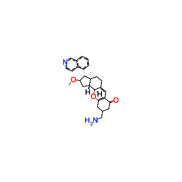 CO[C@@H]1C[C@H]2[C@@H]3OC4=C(C=C3CC[C@]2(C)[C@H]1c1cccc2cnccc12)C(=O)CC(CN)C4